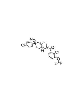 O=C(c1cccc(OC(F)F)c1Cl)N1CCN2C[C@@](O)(c3ccc(Cl)cc3)CC[C@@H]2C1